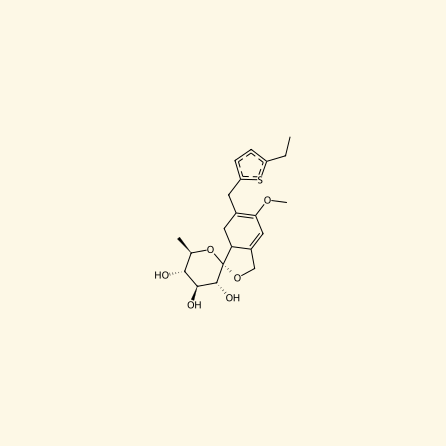 CCc1ccc(CC2=C(OC)C=C3CO[C@]4(O[C@H](C)[C@@H](O)[C@H](O)[C@H]4O)C3C2)s1